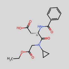 CCOC(=O)CN(C(=O)[C@H](CC(=O)O)NC(=O)c1ccccc1)C1CC1